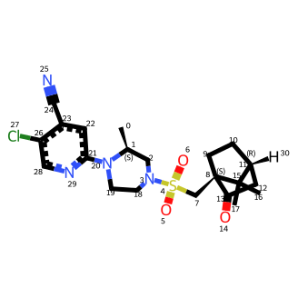 C[C@H]1CN(S(=O)(=O)C[C@]23CC[C@H](CC2=O)C3(C)C)CCN1c1cc(C#N)c(Cl)cn1